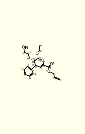 C=CCOC(=O)C1=C[C@@H](c2ccccc2)[C@H](CCCO)[C@H](OCC)O1